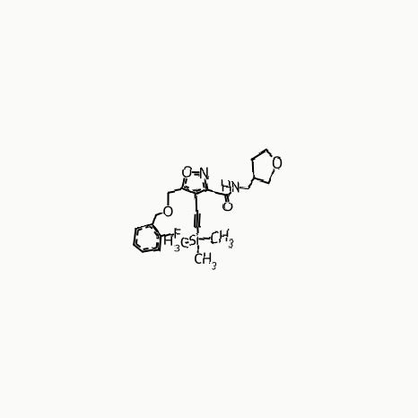 C[Si](C)(C)C#Cc1c(C(=O)NCC2CCOC2)noc1COCc1ccccc1F